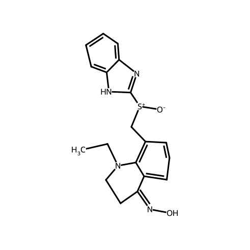 CCN1CC/C(=N/O)c2cccc(C[S+]([O-])c3nc4ccccc4[nH]3)c21